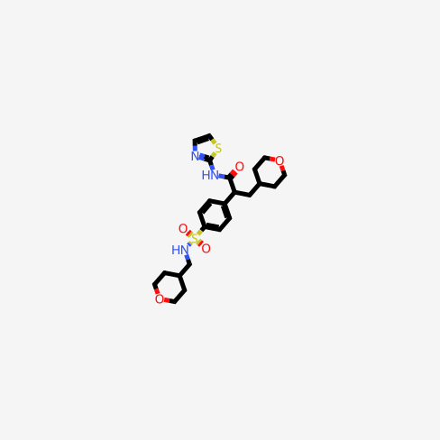 O=C(Nc1nccs1)C(CC1CCOCC1)c1ccc(S(=O)(=O)NCC2CCOCC2)cc1